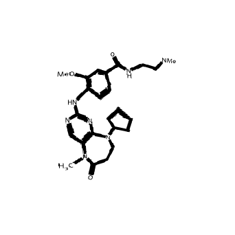 CNCCNC(=O)c1ccc(Nc2ncc3c(n2)N(C2CCCC2)CCC(=O)N3C)c(OC)c1